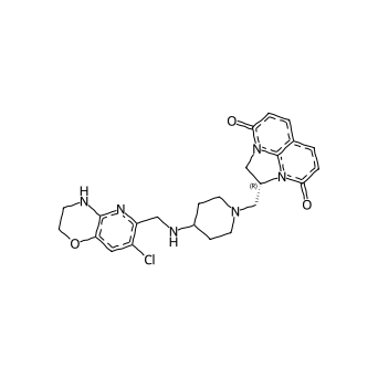 O=c1ccc2ccc(=O)n3c2n1C[C@H]3CN1CCC(NCc2nc3c(cc2Cl)OCCN3)CC1